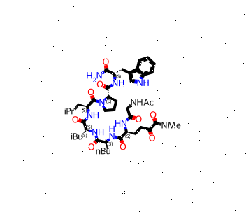 CCCC[C@H](NC(=O)[C@H](CCC(=O)C(=O)NC)NC(=O)CNC(C)=O)C(=O)N[C@H](C(=O)N[C@@H](CC(C)C)C(=O)N1CCC[C@H]1C(=O)N[C@@H](Cc1c[nH]c2ccccc12)C(N)=O)[C@@H](C)CC